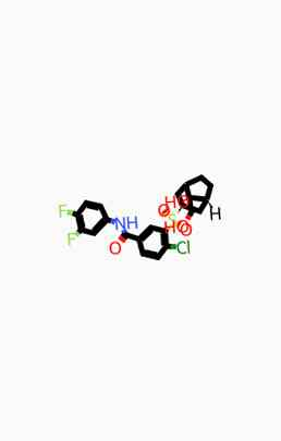 O=C(Nc1ccc(F)c(F)c1)c1ccc(Cl)c(S(=O)(=O)[C@@H]2CC3CC[C@@H](C2)[C@@]3(O)CO)c1